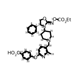 CCOC(=O)O/N=C1\OC[C@@H](c2ccccc2)N1C1CCN(Cc2ccc(Oc3ccc(C(=O)O)cc3)nc2C)CC1